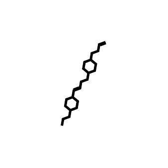 C=CCCC1CCC(CC/C=C/C2CCC(CCC)CC2)CC1